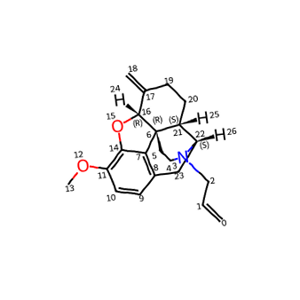 C=CCN1CC[C@@]23c4c5ccc(OC)c4O[C@@H]2C(=C)CC[C@@H]3[C@@H]1C5